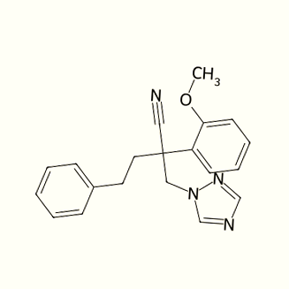 COc1ccccc1C(C#N)(CCc1ccccc1)Cn1cncn1